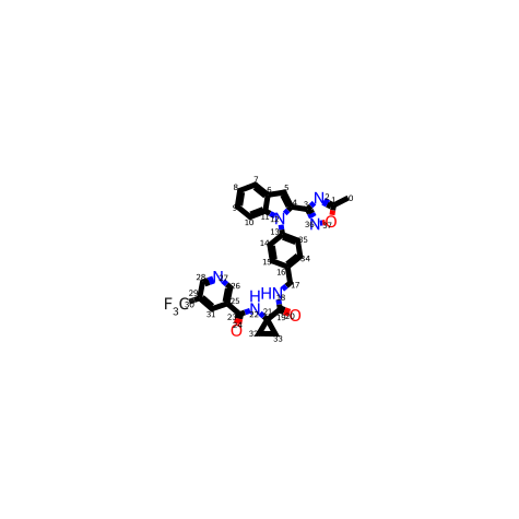 Cc1nc(-c2cc3ccccc3n2-c2ccc(CNC(=O)C3(NC(=O)c4cncc(C(F)(F)F)c4)CC3)cc2)no1